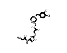 O=C(CSC1NN=C(NC(=O)CO)S1)NC[C@H]1CN(Cc2ccc(Cl)c(Cl)c2)CCO1